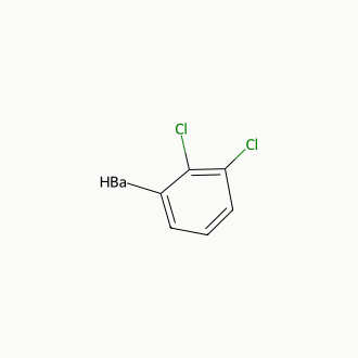 Clc1ccc[c]([BaH])c1Cl